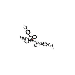 Cc1ccc(CNC(=O)CCC(=O)N2CCCNCC2C(c2ccccc2)c2ccc(Cl)cc2)cc1